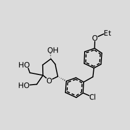 CCOc1ccc(Cc2cc([C@H]3C[C@@H](O)CC(CO)(CO)O3)ccc2Cl)cc1